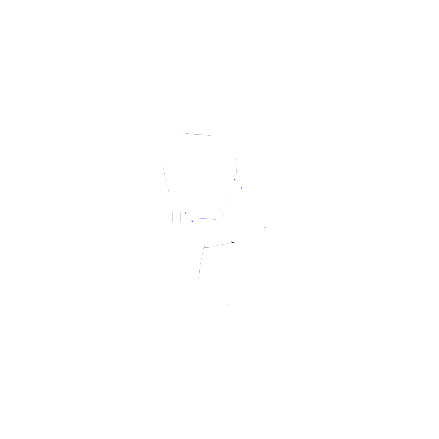 CCC1(/C2=N/CCCCCN2)CCCCC1